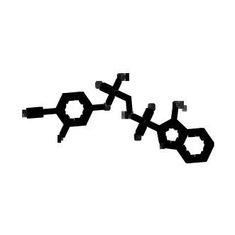 Cc1c(S(=O)(=O)NCP(=O)(O)Oc2ccc(C#N)c(F)c2)sc2ccccc12